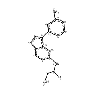 CCC(CO)Nc1ccc2ncc(-c3cccc(N)c3)n2n1